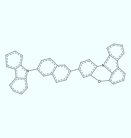 c1ccc2c(c1)c1ccccc1n2-c1ccc2cc(-c3ccc4c(c3)Oc3cccc5c6ccccc6n-4c35)ccc2c1